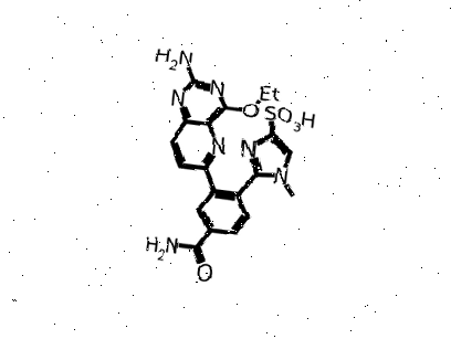 CCOc1nc(N)nc2ccc(-c3cc(C(N)=O)ccc3-c3nc(S(=O)(=O)O)cn3C)nc12